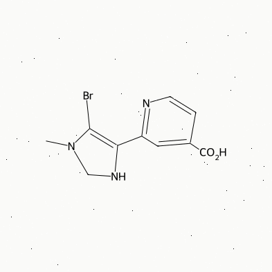 CN1CNC(c2cc(C(=O)O)ccn2)=C1Br